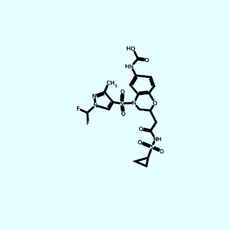 Cc1nn(C(F)F)cc1S(=O)(=O)N1CC(CC(=O)NS(=O)(=O)C2CC2)Oc2ccc(NC(=O)O)cc21